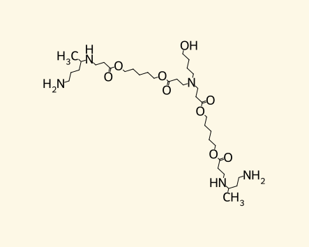 CC(CCN)NCCC(=O)OCCCCCOC(=O)CCN(CCCCO)CCC(=O)OCCCCCOC(=O)CCNC(C)CCCN